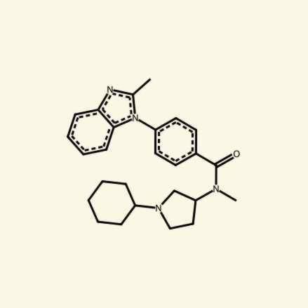 Cc1nc2ccccc2n1-c1ccc(C(=O)N(C)C2CCN(C3CCCCC3)C2)cc1